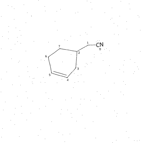 N#CCC1CC=CCC1